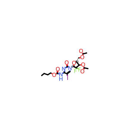 CCCCOC(=O)Nc1nc(=O)n([C@@H]2O[C@H](COC(C)=O)C(OC(C)=O)C2(F)F)cc1I